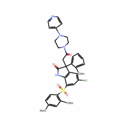 COc1ccc(S(=O)(=O)c2cc(Cl)cc3c2NC(=O)C3(CC(=O)N2CCN(c3ccncc3)CC2)c2ccccc2OC)c(OC)c1